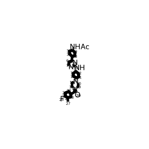 CC(=O)Nc1ccc(-c2ccnc(Nc3ccc(N4CCN(C(=O)c5ccc(F)c(C)c5)CC4)cc3)n2)cc1